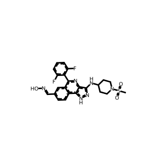 CS(=O)(=O)N1CCC(Nc2n[nH]c3c2nc(-c2c(F)cccc2F)c2cc(C=NO)ccc23)CC1